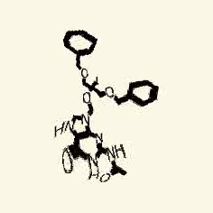 CC(=O)Nc1nc2c(c(=O)[nH]1)NCN2COC(I)(COCc1ccccc1)COCc1ccccc1